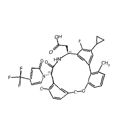 Cc1cccc2c1-c1cc(C3CC3)c(F)c(c1)[C@H](CC(=O)O)NC(=O)[C@@H](n1ccc(C(F)(F)F)cc1=O)c1cc(ccc1Cl)CO2